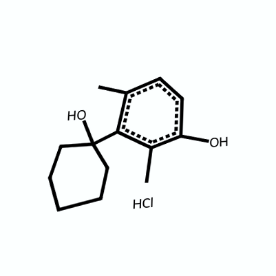 Cc1ccc(O)c(C)c1C1(O)CCCCC1.Cl